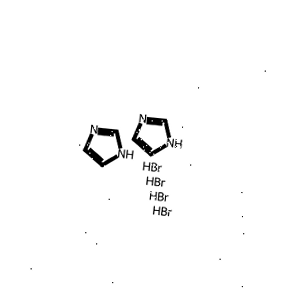 Br.Br.Br.Br.c1c[nH]cn1.c1c[nH]cn1